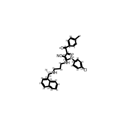 Cc1ccc(C(=O)c2nn(-c3ccc(Cl)cc3)c(NCCCN[C@@H](C)c3cccc4ccccc34)c2C#N)cc1